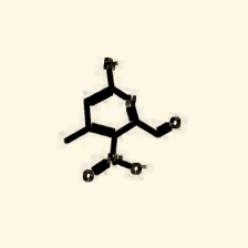 Cc1cc(Br)nc(C=O)c1[N+](=O)[O-]